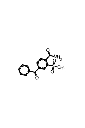 CS(=O)(=O)c1cc(C(=O)c2ccccc2)ccc1C(N)=O